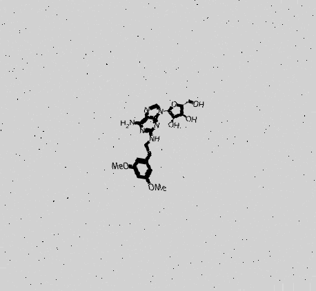 COc1cc(CCNc2nc(N)c3ncn([C@@H]4O[C@H](CO)[C@@H](O)[C@H]4O)c3n2)cc(OC)c1